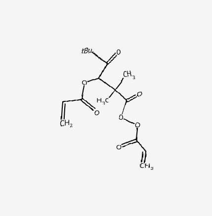 C=CC(=O)OOC(=O)C(C)(C)C(OC(=O)C=C)C(=O)C(C)(C)C